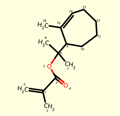 C=C(C)C(=O)OC(C)(C)C1CCCCC=C1C